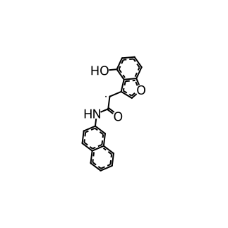 O=C([CH]c1coc2cccc(O)c12)Nc1ccc2ccccc2c1